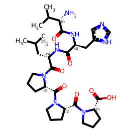 CC(C)C[C@H](NC(=O)[C@H](Cc1cnc[nH]1)NC(=O)[C@@H](N)C(C)C)C(=O)N1CCC[C@H]1C(=O)N1CCC[C@H]1C(=O)N1CCC[C@H]1C(=O)O